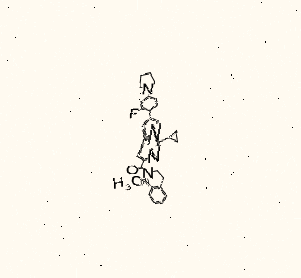 C[C@@H]1c2ccccc2CCN1C(=O)c1cc2cc(-c3ccc(N4CCCC4)cc3F)cn2c(C2CC2)n1